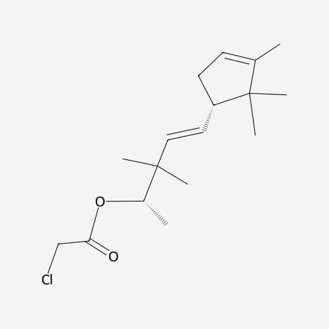 CC1=CC[C@@H](/C=C/C(C)(C)[C@H](C)OC(=O)CCl)C1(C)C